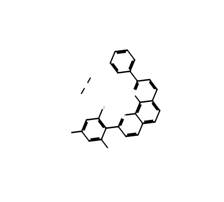 CC(C)c1cc(C(C)C)c(-c2ccc3ccc4ccc(-c5ccccc5)nc4c3n2)c(C(C)C)c1.[Cl][Co][Cl]